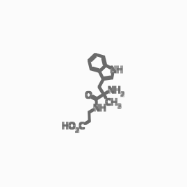 CC(N)(Cc1c[nH]c2ccccc12)C(=O)NCCC(=O)O